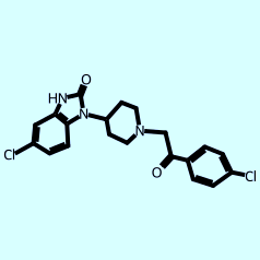 O=C(CN1CCC(n2c(=O)[nH]c3cc(Cl)ccc32)CC1)c1ccc(Cl)cc1